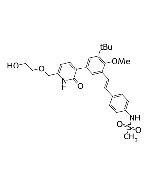 COc1c(C=Cc2ccc(NS(C)(=O)=O)cc2)cc(-c2ccc(COCCO)[nH]c2=O)cc1C(C)(C)C